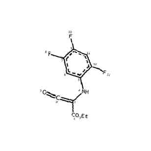 CCOC(=O)C(=C=O)Nc1cc(F)c(F)cc1F